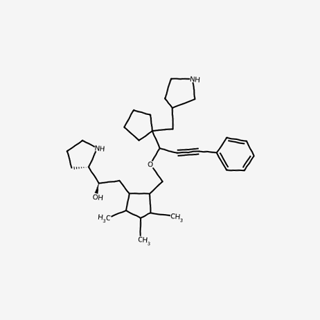 CC1C(C)C(COC(C#Cc2ccccc2)C2(CC3CCNC3)CCCC2)C(C[C@@H](O)[C@@H]2CCCN2)C1C